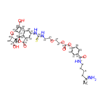 CC(=O)[C@@H](N)CCCCNC(=O)c1ccc(OC(=O)OCCOCCNC(=S)Nc2ccc3c(c2)C(=O)O[C@@]32c3ccc(O)cc3OC3CC(O)[C@H]32)cc1